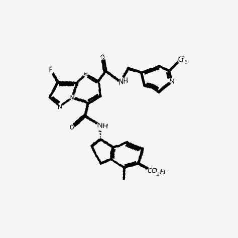 Cc1c(C(=O)O)ccc2c1CC[C@@H]2NC(=O)c1cc(C(=O)NCc2ccnc(C(F)(F)F)c2)nc2c(F)cnn12